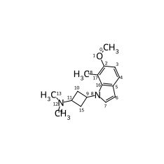 COc1ccc2ccn(C3CC(N(C)C)C3)c2c1C